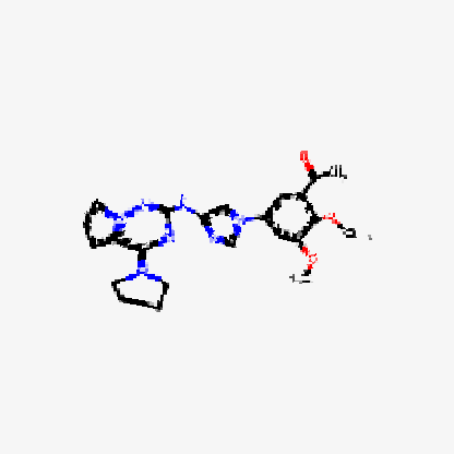 COc1cc(-n2cnc(Nc3nc(N4CCCC4)c4cccn4n3)c2)cc(C(C)=O)c1OC